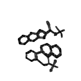 CC(C)(C)OC(=O)c1cc2cc3ccccc3cc2s1.CS(=O)(=O)C1CC2=C(C=CCC2)c2ccc3ccccc3c21